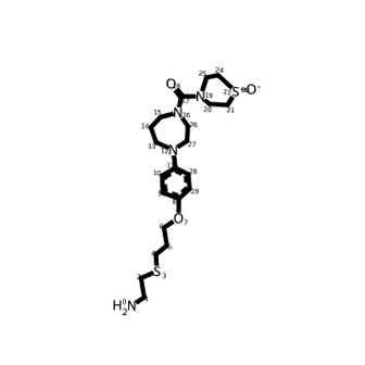 NCCSCCCOc1ccc(N2CCCN(C(=O)N3CC[S+]([O-])CC3)CC2)cc1